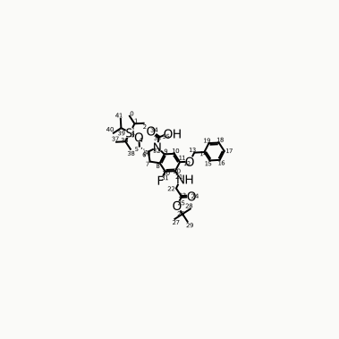 CC(C)[Si](OC[C@H]1Cc2c(cc(OCc3ccccc3)c(NCC(=O)OC(C)(C)C)c2F)N1C(=O)O)(C(C)C)C(C)C